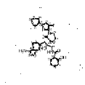 Nc1noc2cc(CC(O)(CNC(=O)c3ccccc3O)[C@H]3OCCN(c4nn(-c5ccnnc5)cc4F)C3=O)ccc12